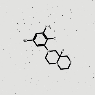 N#Cc1cc(N)c(Cl)c(N2CCN3CCOC[C@H]3C2)c1